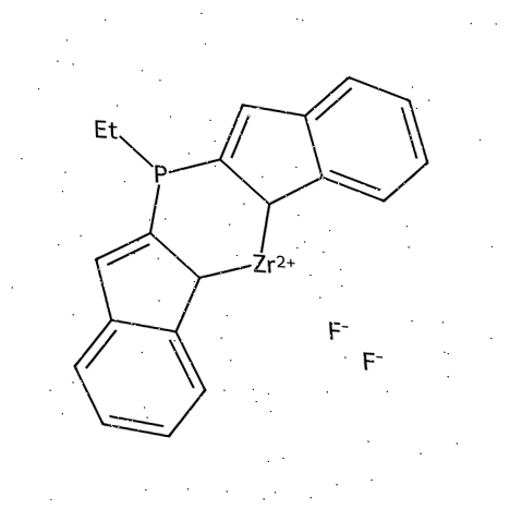 CCP1C2=Cc3ccccc3[CH]2[Zr+2][CH]2C1=Cc1ccccc12.[F-].[F-]